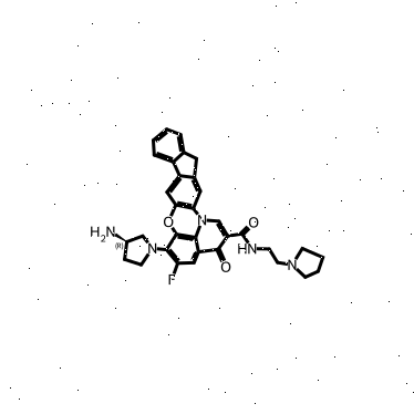 N[C@@H]1CCN(c2c(F)cc3c(=O)c(C(=O)NCCN4CCCC4)cn4c3c2Oc2cc3c(cc2-4)Cc2ccccc2-3)C1